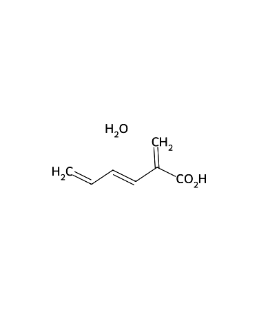 C=CC=CC(=C)C(=O)O.O